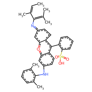 C/C=C(/C)C(/N=c1\ccc2c(-c3ccccc3S(=O)(=O)O)c3ccc(Nc4c(C)cccc4C)cc3oc-2c1)=C(C)C